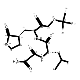 CC(C)C[C@H](NC(=O)C(N)=O)C(=O)N[C@@H](C[C@@H]1CCNC1=O)C(=O)COC(F)(F)F